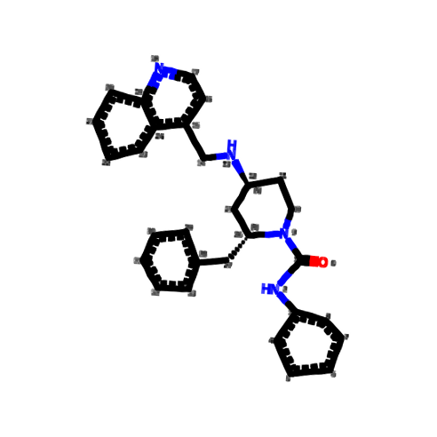 O=C(Nc1ccccc1)N1CC[C@H](NCc2ccnc3ccccc23)C[C@H]1Cc1ccccc1